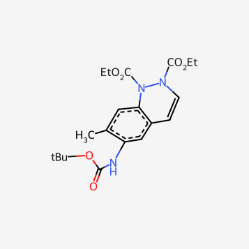 CCOC(=O)N1C=Cc2cc(NC(=O)OC(C)(C)C)c(C)cc2N1C(=O)OCC